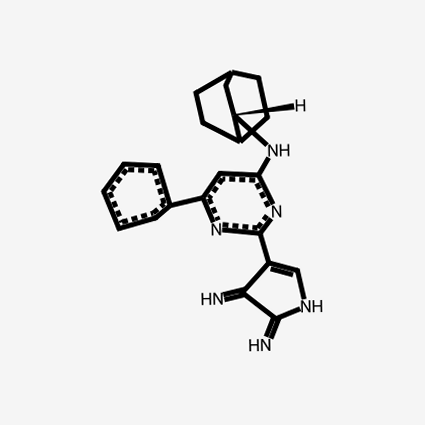 N=C1NC=C(c2nc(N[C@H]3CC4CCC3CC4)cc(-c3ccccc3)n2)C1=N